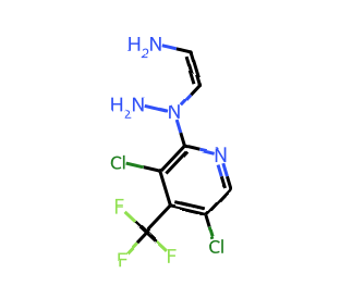 N/C=C\N(N)c1ncc(Cl)c(C(F)(F)F)c1Cl